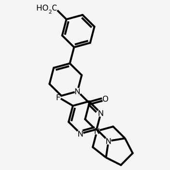 O=C(O)c1cccc(C2=CCCN(C(=O)CN3CC4CCC(C3)N4c3ncc(F)cn3)C2)c1